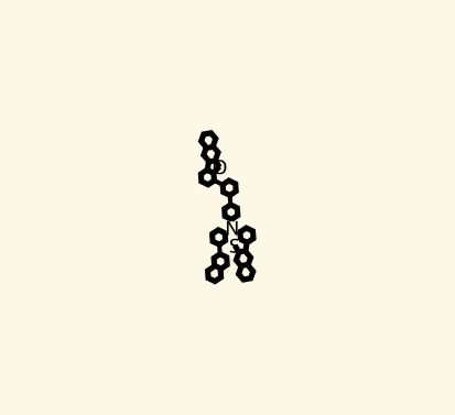 c1cc(-c2ccc(N(c3cccc(-c4ccc5ccccc5c4)c3)c3cccc4c3sc3cc5ccccc5cc34)cc2)cc(-c2cccc3c2oc2cc4ccccc4cc23)c1